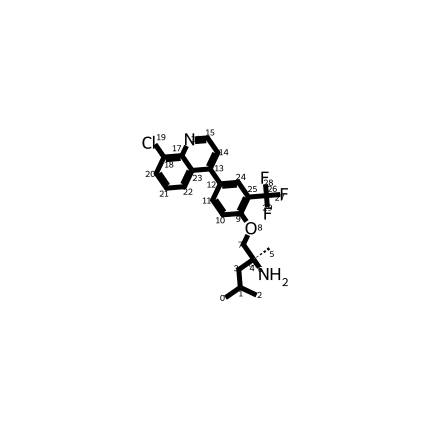 CC(C)C[C@](C)(N)COc1ccc(-c2ccnc3c(Cl)cccc23)cc1C(F)(F)F